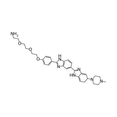 CN1CCN(C2C=c3nc(-c4ccc5[nH]c(-c6ccc(OCCOCCOCCN)cc6)nc5c4)[nH]c3=CC2)CC1